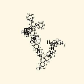 CC(C)(C)OC(=O)N1CCN(C[C@]2(C)CCC(c3ccc(Cl)cc3)=C(CN3CCN(c4ccc(C(=O)NS(=O)(=O)c5ccc(NC(CCN6CCCCC6)CSc6ccccc6)c(S(=O)(=O)C(F)(F)F)c5)cc4)CC3)C2)CC1